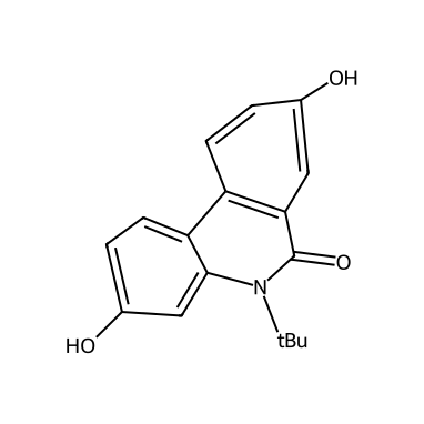 CC(C)(C)n1c(=O)c2cc(O)ccc2c2ccc(O)cc21